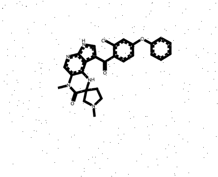 CN1CCC2(C1)Nc1c(cnc3[nH]cc(C(=O)c4ccc(Oc5ccccc5)cc4Cl)c13)N(C)C2=O